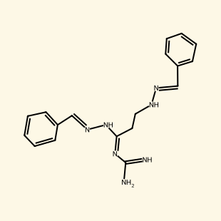 N=C(N)/N=C(\CCN/N=C/c1ccccc1)N/N=C/c1ccccc1